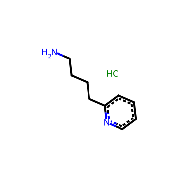 Cl.NCCCCc1ccccn1